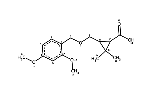 COc1ccc(COCC2C(C(=O)O)C2(C)C)c(OC)c1